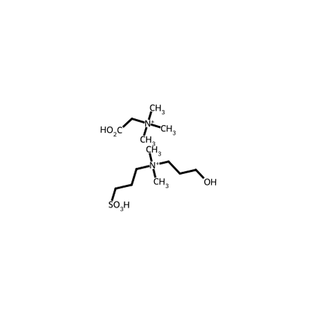 C[N+](C)(C)CC(=O)O.C[N+](C)(CCCO)CCCS(=O)(=O)O